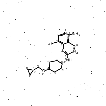 Nc1ncc(I)c2nc(N[C@H]3CC[C@H](OCC4CC4)CC3)ncc12